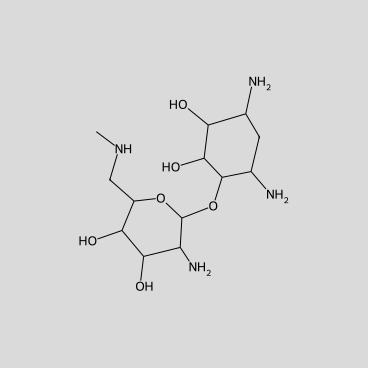 CNCC1OC(OC2C(N)CC(N)C(O)C2O)C(N)C(O)C1O